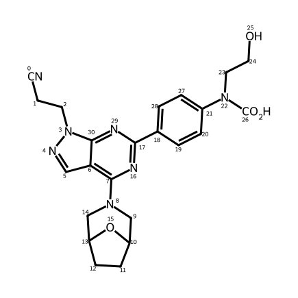 N#CCCn1ncc2c(N3CC4CCC(C3)O4)nc(-c3ccc(N(CCO)C(=O)O)cc3)nc21